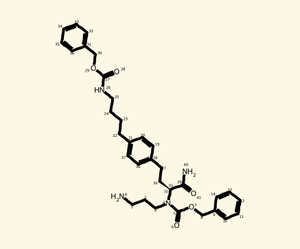 NCCCN(C(=O)OCc1ccccc1)[C@@H](CCc1ccc(CCCCNC(=O)OCc2ccccc2)cc1)C(N)=O